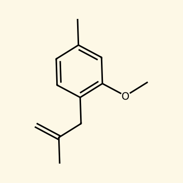 C=C(C)Cc1ccc(C)cc1OC